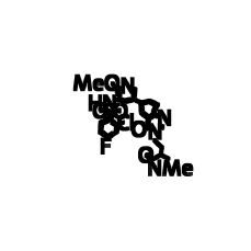 CNC(=O)C(C)CCn1cnc2ccc(-c3cnc(OC)c(NS(=O)(=O)c4ccc(F)cc4Cl)c3)cc2c1=O